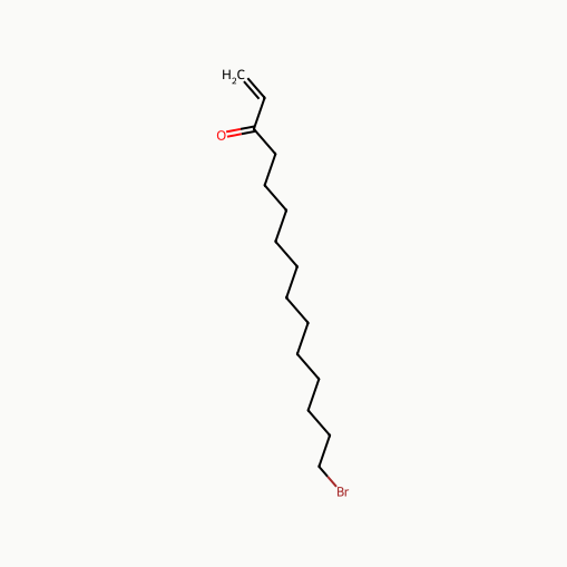 C=CC(=O)CCCCCCCCCCCCBr